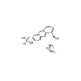 C#Cc1cccc2cc3ccccc3cc12.N.N.N.O=P(O)(O)O